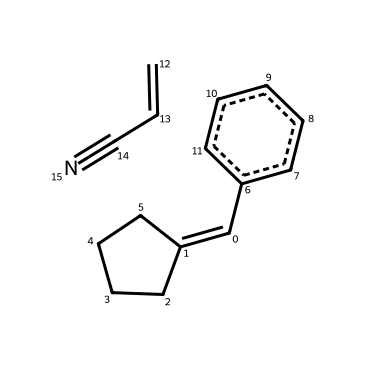 C(=C1CCCC1)c1ccccc1.C=CC#N